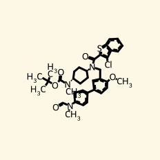 COc1ccc(-c2ccc(N(C)C=O)cc2)cc1CN(C(=O)c1sc2ccccc2c1Cl)[C@H]1CC[C@H](N(C)C(=O)OC(C)(C)C)CC1